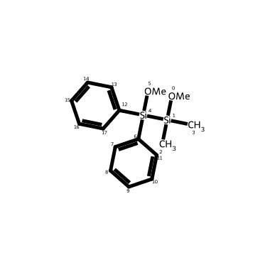 CO[Si](C)(C)[Si](OC)(c1ccccc1)c1ccccc1